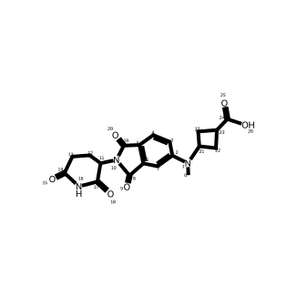 CN(c1ccc2c(c1)C(=O)N(C1CCC(=O)NC1=O)C2=O)C1CC(C(=O)O)C1